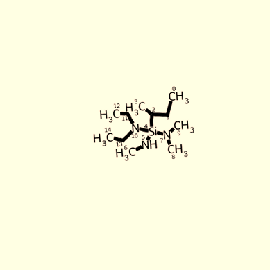 CCC(C)[Si](NC)(N(C)C)N(CC)CC